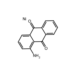 Nc1cccc2c1C(=O)c1ccccc1C2=O.[Ni]